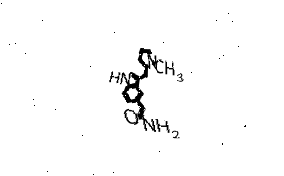 CN1CCCC1Cc1c[nH]c2ccc(CC(N)=O)cc12